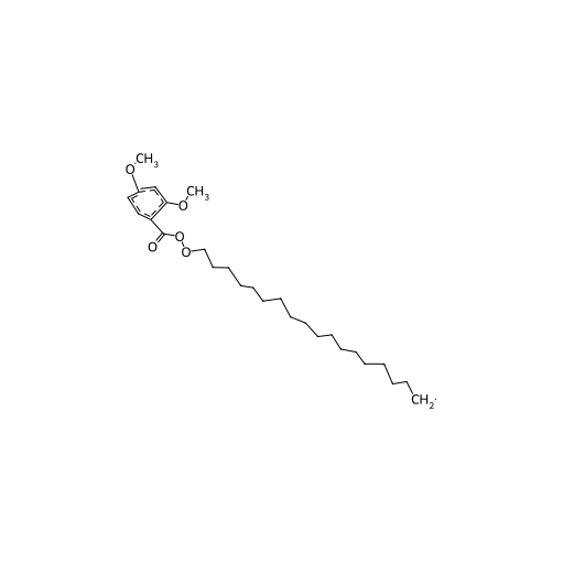 [CH2]CCCCCCCCCCCCCCCCCOOC(=O)c1ccc(OC)cc1OC